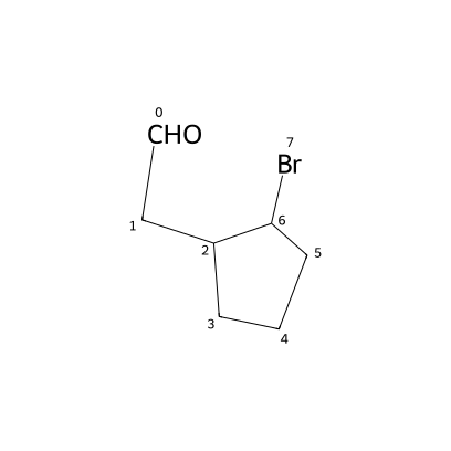 O=CCC1CCCC1Br